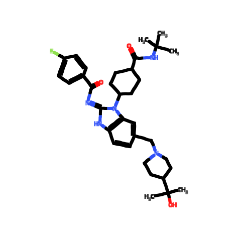 CC(C)(C)NC(=O)C1CCC(n2/c(=N\C(=O)c3ccc(F)cc3)[nH]c3ccc(CN4CCC(C(C)(C)O)CC4)cc32)CC1